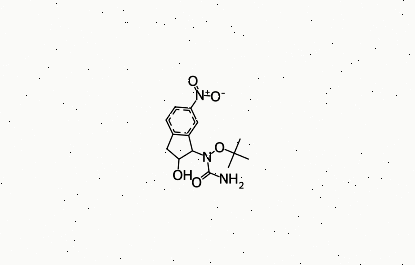 CC(C)(C)ON(C(N)=O)C1c2cc([N+](=O)[O-])ccc2CC1O